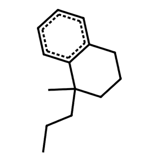 CCCC1(C)CCCc2ccccc21